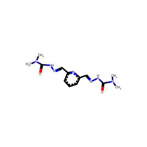 CN(C)C(=O)N/N=C/c1cccc(/C=N/NC(=O)N(C)C)n1